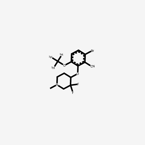 [2H]C([2H])([2H])Oc1ccc(Br)c(C#N)c1OC1CCN(C)CC1(F)F